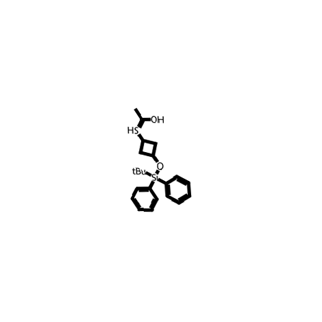 CC(O)=[SH]C1CC(O[Si](c2ccccc2)(c2ccccc2)C(C)(C)C)C1